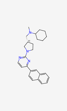 CN(C[C@@H]1CCN(c2nccc(-c3ccc4ccccc4c3)n2)C1)C1CCCCC1